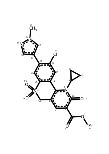 CC(C)OC(=O)c1cc2c(n(C3CC3)c1=O)-c1cc(Cl)c(-c3cnn(C)c3)cc1S(=O)(=O)C2